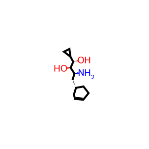 N[C@@H](C[C@H]1CC=CCC1)[C@@H](O)[C@@H](O)C1CC1